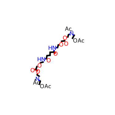 CC(=O)CN(CCOC(C)=O)CCOC(=O)COCCNC(=O)CCCC(=O)NCCOCC(=O)OCCN(CCOC(C)=O)CC(C)=O